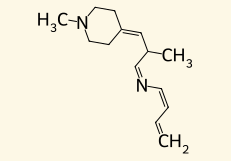 C=C/C=C\N=C/C(C)C=C1CCN(C)CC1